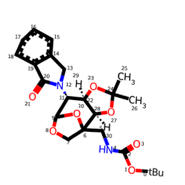 CC(C)(C)OC(=O)NCC12COC(O1)[C@H](N1Cc3ccccc3C1=O)[C@H]1OC(C)(C)O[C@H]12